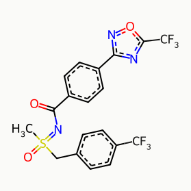 CS(=O)(Cc1ccc(C(F)(F)F)cc1)=NC(=O)c1ccc(-c2noc(C(F)(F)F)n2)cc1